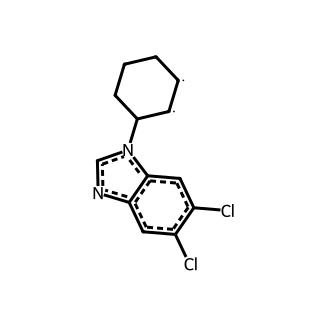 Clc1cc2ncn(C3[CH][CH]CCC3)c2cc1Cl